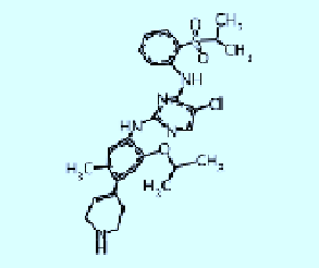 Cc1cc(Nc2ncc(Cl)c(Nc3ccccc3S(=O)(=O)C(C)C)n2)c(OC(C)C)cc1C1=CCNCC1